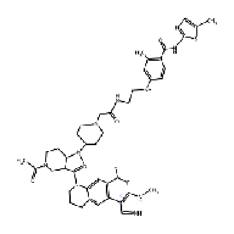 CN/C=C(\C=N)c1cc2c(cc1C(F)F)N(C1=NN(C3CCN(CC(=O)NCCNc4ccc(C(=O)Nc5ncc(C)s5)c(C)c4)CC3)C3CCN(C(C)=O)CC13)CCC2